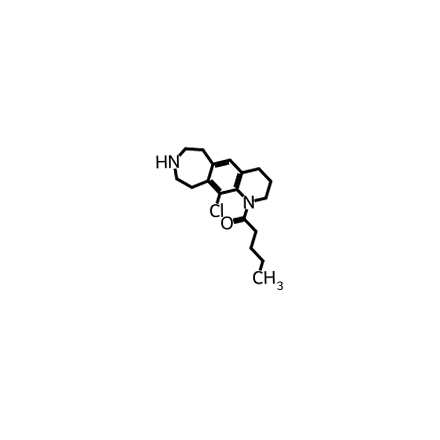 CCCCC(=O)N1CCCc2cc3c(c(Cl)c21)CCNCC3